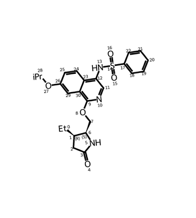 CC[C@@H]1CC(=O)N[C@@H]1COc1ncc(NS(=O)(=O)c2ccccc2)c2ccc(OC(C)C)cc12